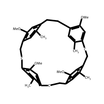 COc1cc2c(C)cc1CCc1cc(OC)c(cc1C)CCc1cc(C)c(cc1OC)CCc1cc(C)c(cc1OC)CC2